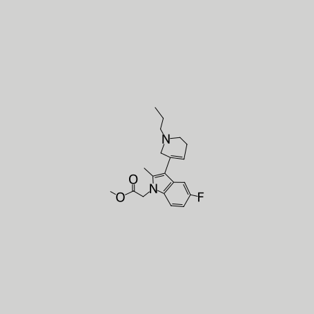 CCCN1CCC=C(c2c(C)n(CC(=O)OC)c3ccc(F)cc23)C1